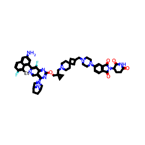 CCc1c(F)ccc2cc(N)cc(-c3ncc4c(N5CC6CCC(C5)N6)nc(OCC5(CN6CCC7(CC6)CC(CN6CCN(c8ccc9c(c8)C(=O)N(C8CCC(=O)NC8=O)C9=O)CC6)C7)CC5)nc4c3F)c12